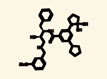 COc1cccc(CNC[C@H](O)[C@H](Cc2ccccc2)NC(=O)c2cc(C3CCCC3)cc(N3CCCS3(O)O)c2)c1